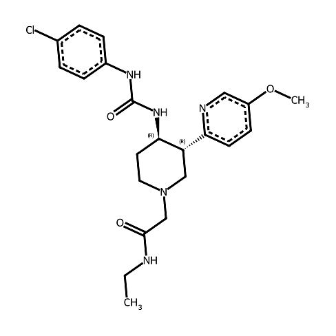 CCNC(=O)CN1CC[C@@H](NC(=O)Nc2ccc(Cl)cc2)[C@H](c2ccc(OC)cn2)C1